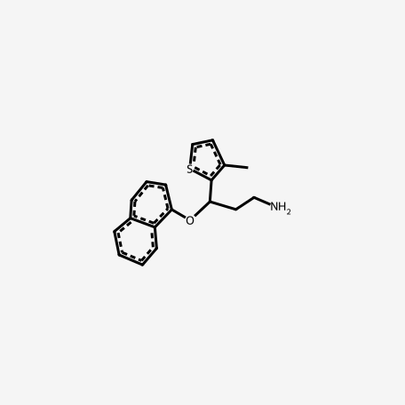 Cc1ccsc1C(CCN)Oc1cccc2ccccc12